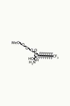 COCCOCCOCCOCC(=O)N(CCC(F)(F)C(F)(F)C(F)(F)C(F)(F)C(F)(F)C(F)(F)C(F)(F)C(F)(F)F)CC(O)C(O)CN